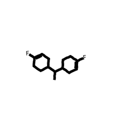 CC(C1CC=C(F)CC1)C1CC=C(F)CC1